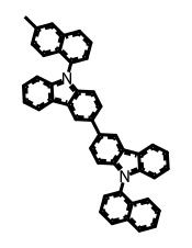 Cc1ccc2c(-n3c4ccccc4c4cc(-c5ccc6c(c5)c5ccccc5n6-c5cccc6ccccc56)ccc43)cccc2c1